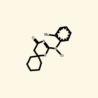 CCN(C1=NC(=O)CC2(CCCCC2)S1)c1ccccc1C(C)(C)C